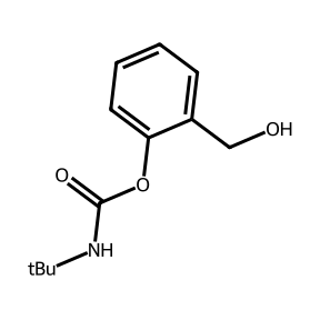 CC(C)(C)NC(=O)Oc1ccccc1CO